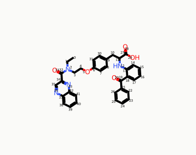 CCN(CCOc1ccc(CC(Nc2ccccc2C(=O)c2ccccc2)C(=O)O)cc1)C(=O)c1cnc2ccccc2n1